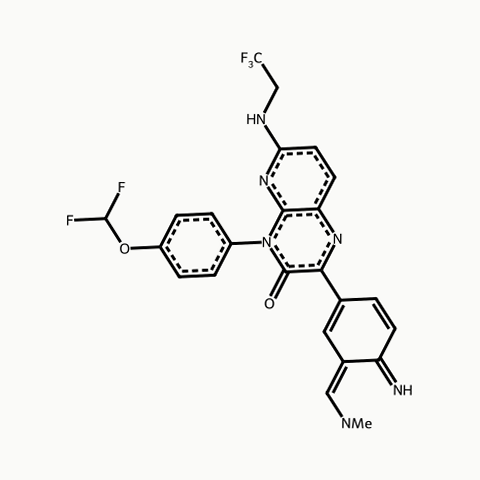 CN/C=C1/C=C(c2nc3ccc(NCC(F)(F)F)nc3n(-c3ccc(OC(F)F)cc3)c2=O)C=CC1=N